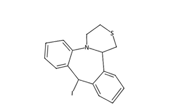 IC1c2ccccc2C2CSCCN2c2ccccc21